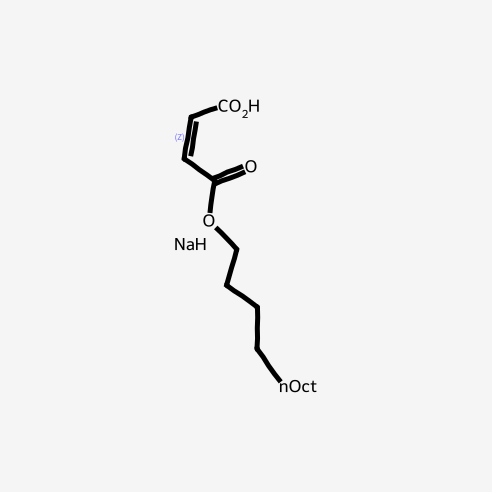 CCCCCCCCCCCCOC(=O)/C=C\C(=O)O.[NaH]